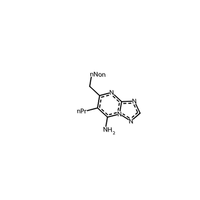 CCCCCCCCCCc1nc2ncnn2c(N)c1CCC